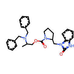 CC(COC(=O)N1CCCC1Cn1c(=O)[nH]c2ccccc21)N(Cc1ccccc1)Cc1ccccc1